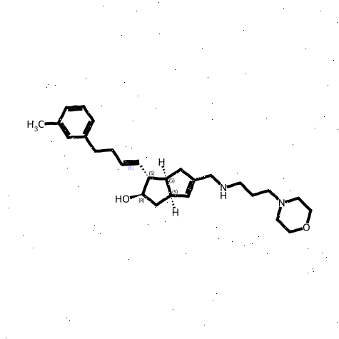 Cc1cccc(CC/C=C/[C@@H]2[C@H]3CC(CNCCCN4CCOCC4)=C[C@H]3C[C@H]2O)c1